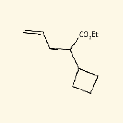 C=CCC(C(=O)OCC)C1CCC1